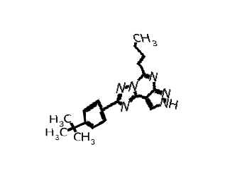 CCCCc1nc2n[nH]cc2c2nc(-c3ccc(C(C)(C)C)cc3)nn12